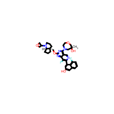 C[C@@]1(O)COCCN(c2nc(OC[C@]34CCC[C@H]3N(C3COC3)CCC4)nc3c(F)c(-c4cc(O)cc5cccc(F)c45)ncc23)C1